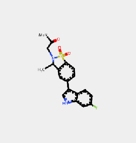 CNC(=O)CN1C(C)c2cc(-c3c[nH]c4cc(F)ccc34)ccc2S1(=O)=O